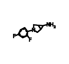 NC1C2CN(c3ccc(F)cc3F)CC12